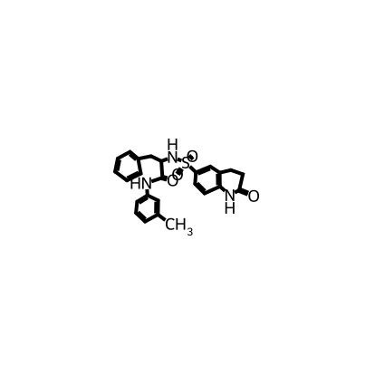 Cc1cccc(NC(=O)C(Cc2ccccc2)NS(=O)(=O)c2ccc3c(c2)CCC(=O)N3)c1